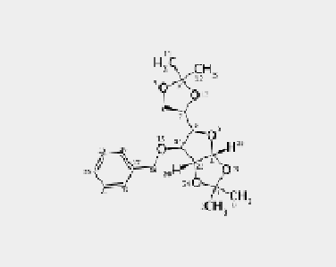 CC1(C)O[C@H]2O[C@H]([C@H]3COC(C)(C)O3)[C@H](OCc3ccccc3)[C@H]2O1